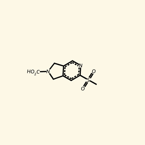 CS(=O)(=O)c1cc2c(cn1)CN(C(=O)O)C2